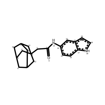 O=C(CC12CC3CC(CC(C3)C1)C2)Nc1ccc2[nH]ccc2c1